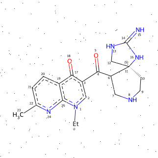 CCn1cc(C(=O)C2CNCC[C@@]23CNC(=N)N3)c(=O)c2ccc(C)nc21